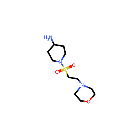 NC1CCN(S(=O)(=O)CCN2CCOCC2)CC1